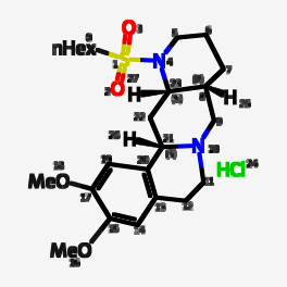 CCCCCCS(=O)(=O)N1CCC[C@@H]2CN3CCc4cc(OC)c(OC)cc4[C@@H]3C[C@@H]21.Cl